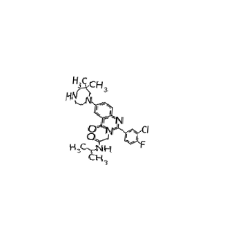 CC(C)NC(=O)Cn1c(-c2ccc(F)c(Cl)c2)nc2ccc(N3CCNCC(C)(C)C3)cc2c1=O